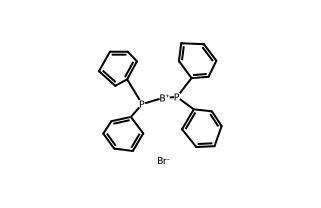 [B+](P(c1ccccc1)c1ccccc1)P(c1ccccc1)c1ccccc1.[Br-]